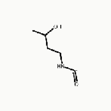 CC(O)CCN[C]=O